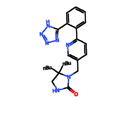 CCCCC1(CCCC)CNC(=O)N1Cc1ccc(-c2ccccc2-c2nnn[nH]2)nc1